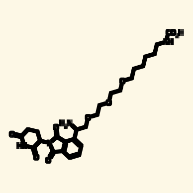 NC(COCCOCCOCCCCCCNC(=O)O)c1cccc2c1C(=O)N(C1CCC(=O)NC1=O)C2=O